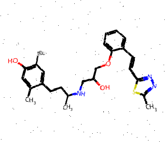 Cc1nnc(C=Cc2ccccc2OCC(O)CNC(C)CCc2cc(C(C)(C)C)c(O)cc2C)s1